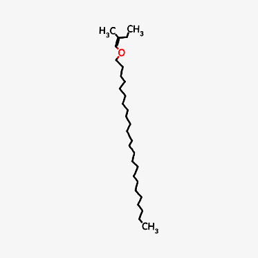 CCCCCCCCCCCCCCCCCCCCCCCCOC=C(C)CC